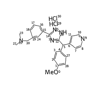 COc1ccc(C(c2ccncc2)c2nc(-c3cccc(CN(C)C)c3)n[nH]2)cc1.Cl.Cl